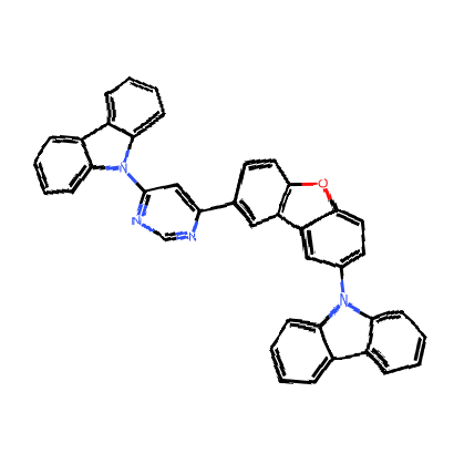 c1ccc2c(c1)c1ccccc1n2-c1ccc2oc3ccc(-c4cc(-n5c6ccccc6c6ccccc65)ncn4)cc3c2c1